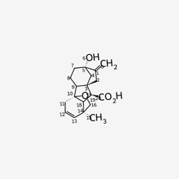 C=C1C[C@]23C[C@@]1(O)CCC2[C@@]12CC=C[C@](C)(CO1)C2[C@@H]3C(=O)O